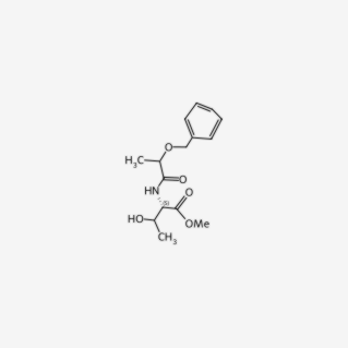 COC(=O)[C@@H](NC(=O)C(C)OCc1ccccc1)C(C)O